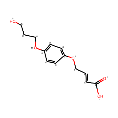 O=C(O)/C=C/COc1ccc(OCCCO)cc1